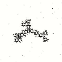 Cc1cc(N(c2ccc(-c3ccc(-c4ccc5c(c4)c4ccccc4n5-c4ccccc4)cc3)cc2)c2ccc3c4ccccc4c4ccccc4c3c2)ccc1-c1ccc(N(c2ccccc2)c2cccc3ccccc23)cc1C